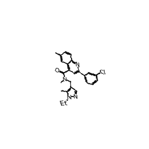 CCn1ncc(CN(C)C(=O)c2cc(-c3cccc(Cl)c3)nc3ccc(C)cc23)c1C